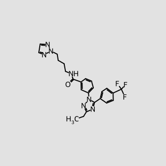 CCc1nc(-c2ccc(C(F)(F)F)cc2)n(-c2cccc(C(=O)NCCCCn3nccn3)c2)n1